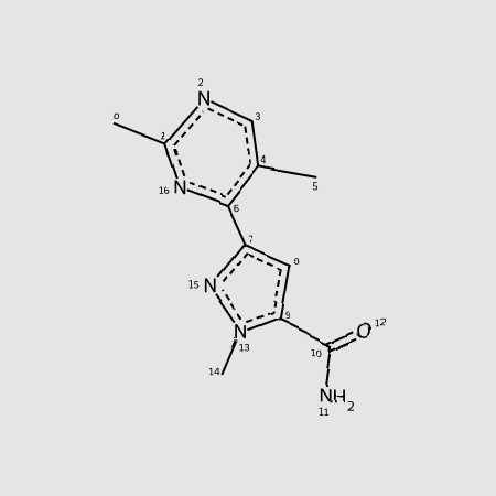 Cc1ncc(C)c(-c2cc(C(N)=O)n(C)n2)n1